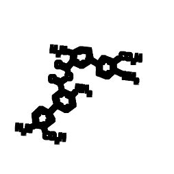 Nc1ccc(-c2ccc(N)c(C(=O)OC(=O)c3cc(-c4ccc(N)c(C(=O)O)c4)ccc3N)c2)cc1C(=O)O